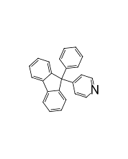 c1ccc(C2(c3ccncc3)c3ccccc3-c3ccccc32)cc1